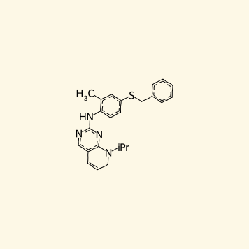 Cc1cc(SCc2ccccc2)ccc1Nc1ncc2c(n1)N(C(C)C)CC=C2